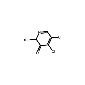 CC(C)(C)C1N=CC(Cl)=C(Cl)C1=O